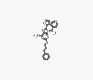 CCC(c1ccncc1)n1c(-c2ccco2)nc2c(N)nc(SCCCc3ccccc3)nc21